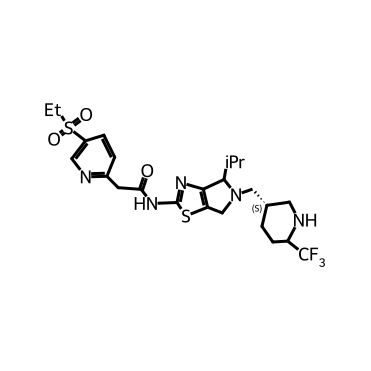 CCS(=O)(=O)c1ccc(CC(=O)Nc2nc3c(s2)CN(C[C@H]2CCC(C(F)(F)F)NC2)C3C(C)C)nc1